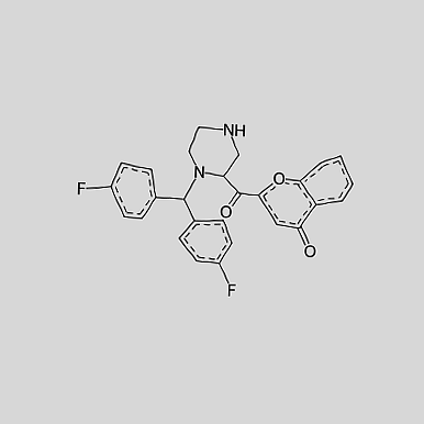 O=C(c1cc(=O)c2ccccc2o1)C1CNCCN1C(c1ccc(F)cc1)c1ccc(F)cc1